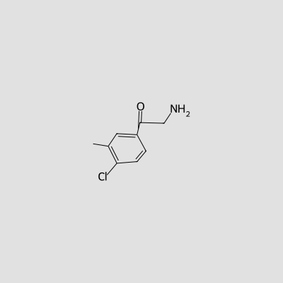 Cc1cc(C(=O)CN)ccc1Cl